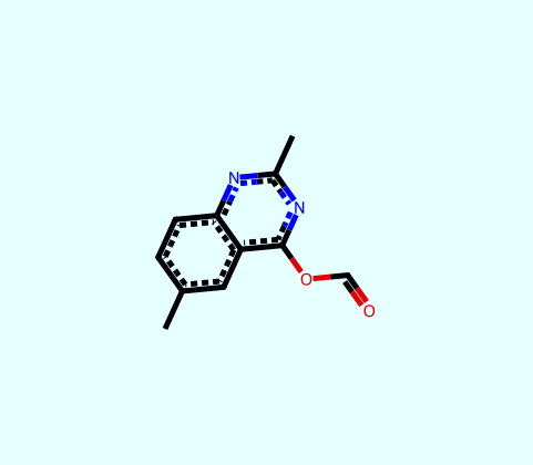 Cc1ccc2nc(C)nc(OC=O)c2c1